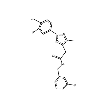 Cn1nc(-c2ccc(Cl)c(F)c2)nc1CC(=O)NCc1cccc(F)c1